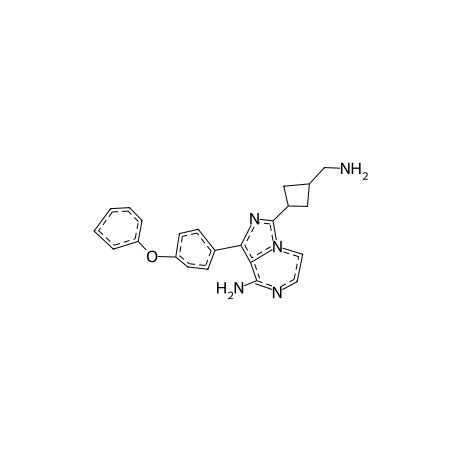 NCC1CC(c2nc(-c3ccc(Oc4ccccc4)cc3)c3c(N)nccn23)C1